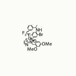 COc1ccc(CN(c2nccs2)S(=O)(=O)c2cc(Br)c(NC(C)c3cccc(C(F)(F)F)c3)cc2F)c(OC)c1